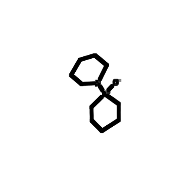 [O-][N+]1(N2CCCCC2)CCCCC1